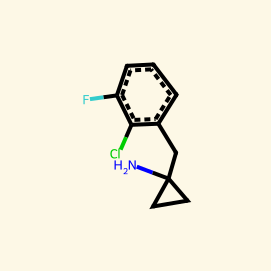 NC1(Cc2cccc(F)c2Cl)CC1